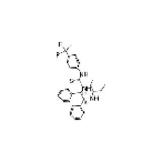 CCC(CC)N[C@H](c1ccccc1)[C@H](NC(=S)Nc1ccc(C(F)(F)F)cc1)c1ccccc1